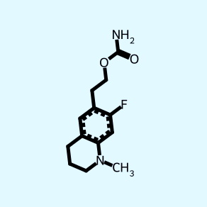 CN1CCCc2cc(CCOC(N)=O)c(F)cc21